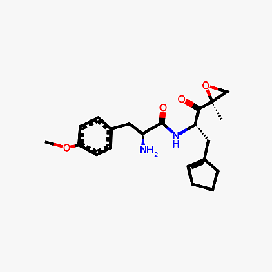 COc1ccc(C[C@H](N)C(=O)N[C@@H](CC2=CCCC2)C(=O)[C@]2(C)CO2)cc1